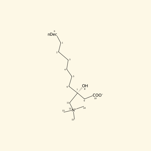 CCCCCCCCCCCCCCCC[C@@](O)(CC(=O)[O-])C[N+](C)(C)C